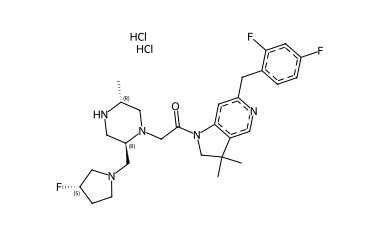 C[C@@H]1CN(CC(=O)N2CC(C)(C)c3cnc(Cc4ccc(F)cc4F)cc32)[C@@H](CN2CC[C@H](F)C2)CN1.Cl.Cl